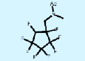 CC(=O)N(C)CC1(F)C(F)C(F)(F)C(F)(F)C1(F)F